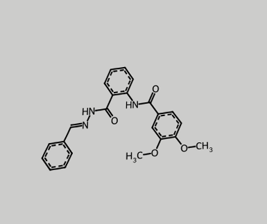 COc1ccc(C(=O)Nc2ccccc2C(=O)NN=Cc2ccccc2)cc1OC